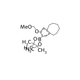 COCOc1cc2c(cc1B1OC(C)(C)C(C)(C)O1)CCCCCC2